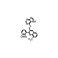 COc1ncccc1-c1nc2c(C)cccc2cc1CSc1ncnc2nc[nH]c12